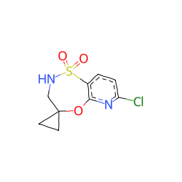 O=S1(=O)NCC2(CC2)Oc2nc(Cl)ccc21